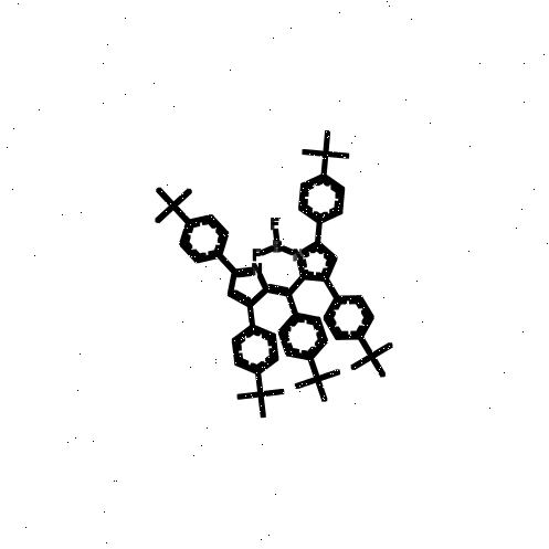 CC(C)(C)c1ccc(C2=CC(c3ccc(C(C)(C)C)cc3)=N/C2=C(/c2ccc(C(C)(C)C)cc2)c2c(-c3ccc(C(C)(C)C)cc3)cc(-c3ccc(C(C)(C)C)cc3)n2B(F)F)cc1